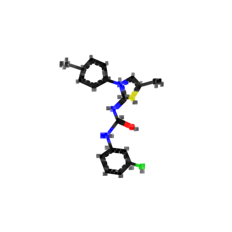 Cc1cn(-c2ccc(C(F)(F)F)cc2)c(=NC(=O)Nc2cccc(Cl)c2)s1